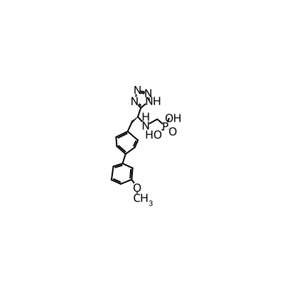 COc1cccc(-c2ccc(C[C@H](NCP(=O)(O)O)c3nnn[nH]3)cc2)c1